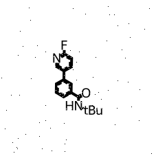 CC(C)(C)NC(=O)c1cccc(-c2ccc(F)nc2)c1